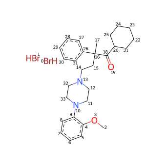 Br.Br.COc1ccccc1N1CCN(CCC(C)(C(=O)C2CCCCC2)c2ccccc2)CC1